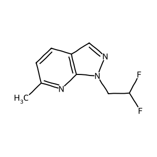 Cc1ccc2cnn(CC(F)F)c2n1